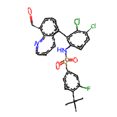 CC(C)(C)c1ccc(S(=O)(=O)Nc2ccc(Cl)c(Cl)c2-c2ccc(C=O)c3ncccc23)cc1F